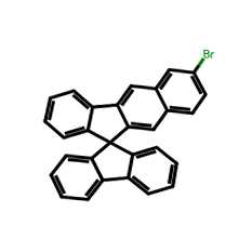 Brc1ccc2cc3c(cc2c1)-c1ccccc1C31c2ccccc2-c2ccccc21